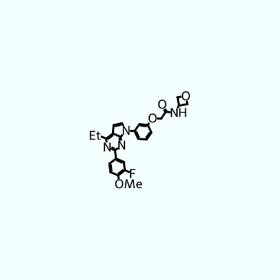 CCc1nc(-c2ccc(OC)c(F)c2)nc2c1ccn2-c1cccc(OCC(=O)NC2COC2)c1